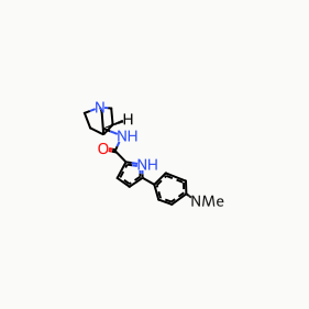 CNc1ccc(-c2ccc(C(=O)N[C@H]3CN4CCC3CC4)[nH]2)cc1